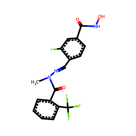 CN(/N=C/c1ccc(C(=O)NO)cc1F)C(=O)c1ccccc1C(F)(F)F